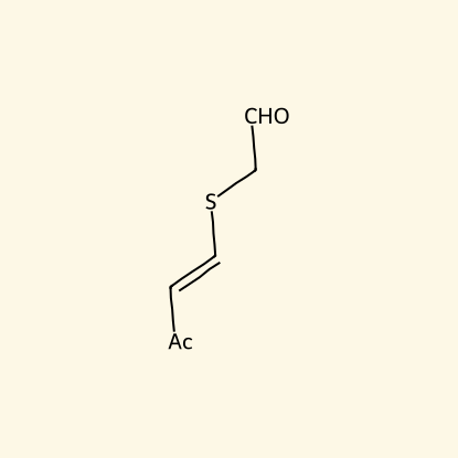 CC(=O)C=CSCC=O